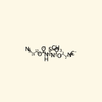 [C-]#[N+]CCOC(=O)/N=C(/NC(=O)OCCC#N)SC